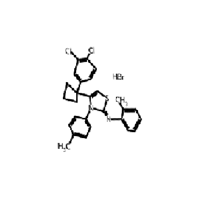 Br.Cc1ccc(-n2c(C3(c4ccc(Cl)c(Cl)c4)CCC3)csc2=Nc2ccccc2C)cc1